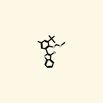 COCOc1c(-c2sc3ccccc3c2Br)cc(C)cc1C(C)(C)C